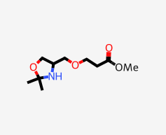 COC(=O)CCOCC1COC(C)(C)N1